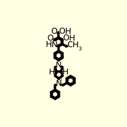 CCc1c(-c2ccc(N3C[C@H]4C[C@@H](N(Cc5ccccc5)Cc5ccccc5)C[C@H]4C3)cc2)[nH]c(=O)c(C(=O)O)c1O